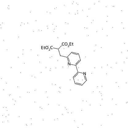 CCOC(=O)C(Cc1cccc(-c2ccccn2)n1)C(=O)OCC